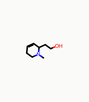 CN1CCC=CC1CCO